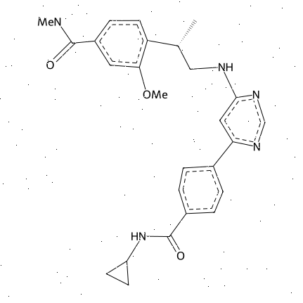 CNC(=O)c1ccc([C@H](C)CNc2cc(-c3ccc(C(=O)NC4CC4)cc3)ncn2)c(OC)c1